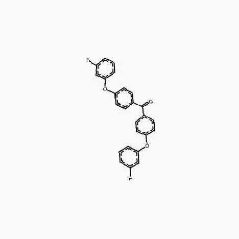 O=C(c1ccc(Oc2cccc(F)c2)cc1)c1ccc(Oc2cccc(F)c2)cc1